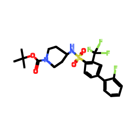 CC(C)(C)OC(=O)N1CCC(NS(=O)(=O)c2ccc(-c3ccccc3F)cc2C(F)(F)F)CC1